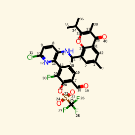 Cc1cc(C(C)Nc2ccc(Cl)nc2-c2ccc(C=O)c(OS(=O)(=O)C(F)(F)F)c2F)c2oc(C(C)C)c(C)c(=O)c2c1